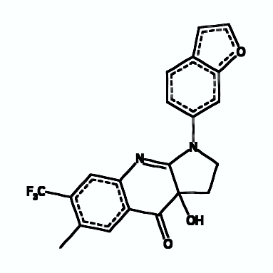 Cc1cc2c(cc1C(F)(F)F)N=C1N(c3ccc4ccoc4c3)CCC1(O)C2=O